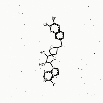 OC1C(n2ccc3c(Cl)ncnc32)OC2(COC(Cc3ccc4cc(Br)c(Cl)nc4c3)C2)C1O